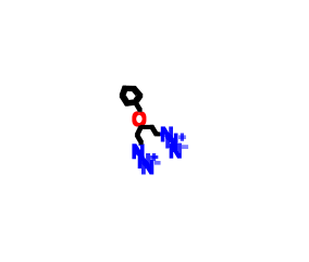 [N-]=[N+]=NCCC(CCN=[N+]=[N-])OCc1ccccc1